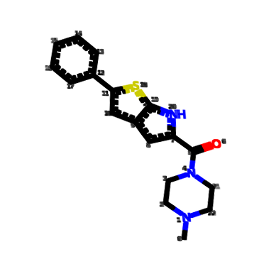 CN1CCN(C(=O)c2cc3cc(-c4ccccc4)sc3[nH]2)CC1